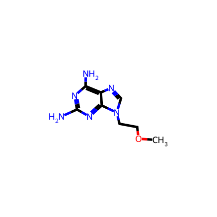 COCCn1cnc2c(N)nc(N)nc21